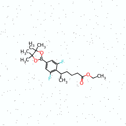 CCOC(=O)CCC[C@@H](C)c1c(F)cc(B2OC(C)(C)C(C)(C)O2)cc1F